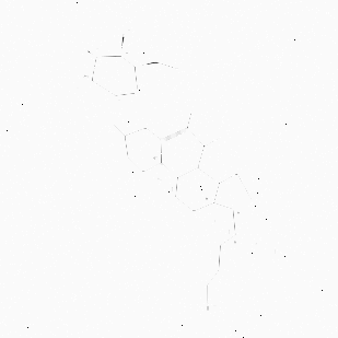 CC(C)CCC[C@@H](C)[C@H]1CCC2C3C(O)C(O)=C4CC(O[C@H]5O[C@H](CO)[C@H](O)[C@H](O)[C@H]5O)CC[C@]4(C)C3CC[C@@]21C